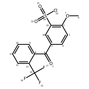 COc1ccc(C(=O)c2ccccc2C(F)(F)F)cc1S(=O)(=O)Cl